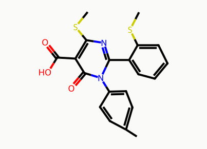 CSc1ccccc1-c1nc(SC)c(C(=O)O)c(=O)n1-c1ccc(C)cc1